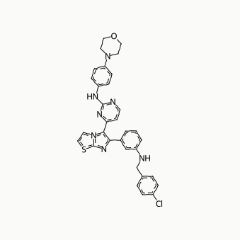 Clc1ccc(CNc2cccc(-c3nc4sccn4c3-c3ccnc(Nc4ccc(N5CCOCC5)cc4)n3)c2)cc1